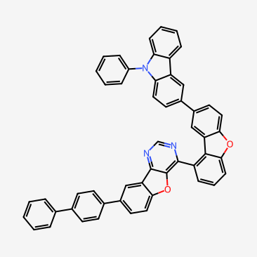 c1ccc(-c2ccc(-c3ccc4oc5c(-c6cccc7oc8ccc(-c9ccc%10c(c9)c9ccccc9n%10-c9ccccc9)cc8c67)ncnc5c4c3)cc2)cc1